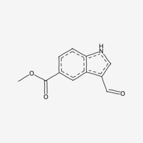 COC(=O)c1ccc2[nH]cc(C=O)c2c1